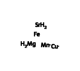 [Cu].[Fe].[MgH2].[Mn].[SrH2]